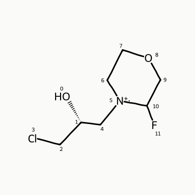 O[C@@H](CCl)C[N+]1CCOCC1F